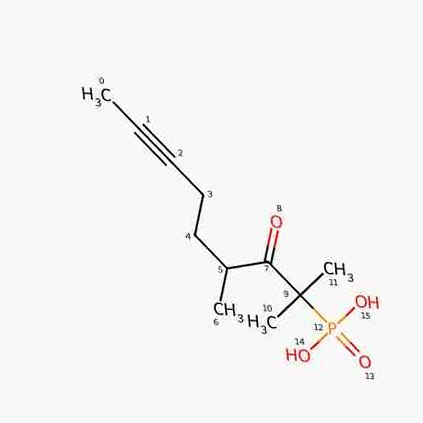 CC#CCCC(C)C(=O)C(C)(C)P(=O)(O)O